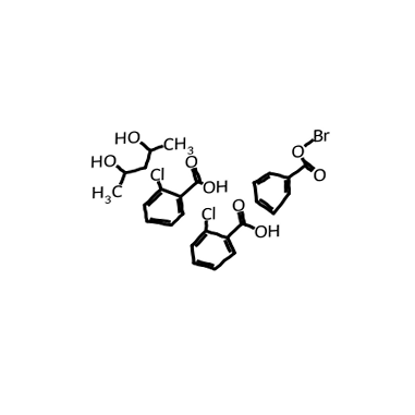 CC(O)CC(C)O.O=C(O)c1ccccc1Cl.O=C(O)c1ccccc1Cl.O=C(OBr)c1ccccc1